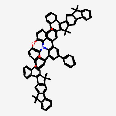 CC1(C)c2ccccc2-c2cc3c(cc21)-c1c(cc(-c2ccc4c(c2)N(c2c(-c5ccccc5)cc(-c5ccccc5)cc2-c2ccccc2)c2cc(-c5cc6c(c7ccccc57)-c5cc7c(cc5C6(C)C)-c5ccccc5C7(C)C)ccc2O4)c2ccccc12)C3(C)C